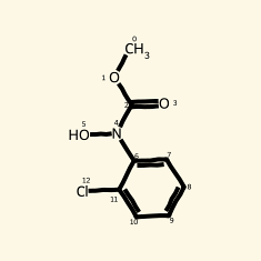 COC(=O)N(O)c1ccccc1Cl